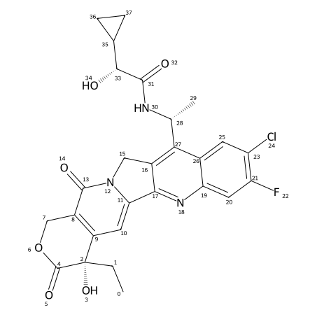 CC[C@@]1(O)C(=O)OCc2c1cc1n(c2=O)Cc2c-1nc1cc(F)c(Cl)cc1c2[C@@H](C)NC(=O)[C@H](O)C1CC1